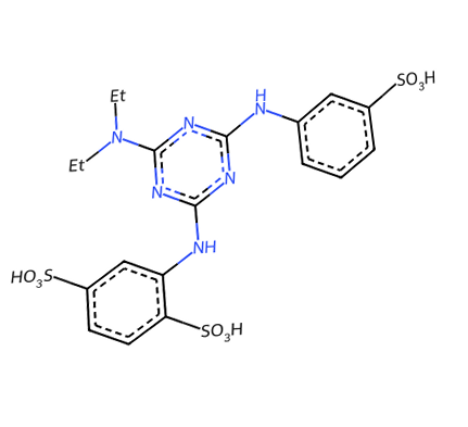 CCN(CC)c1nc(Nc2cccc(S(=O)(=O)O)c2)nc(Nc2cc(S(=O)(=O)O)ccc2S(=O)(=O)O)n1